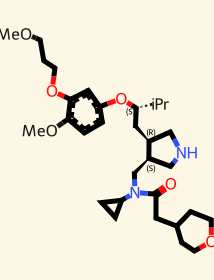 COCCCOc1cc(O[C@@H](C[C@H]2CNC[C@H]2CN(C(=O)CC2CCOCC2)C2CC2)C(C)C)ccc1OC